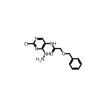 NNc1nc(Cl)ncc1NC(=O)COCc1ccccc1